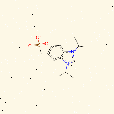 CC(C)n1c[n+](C(C)C)c2ccccc21.CS(=O)(=O)[O-]